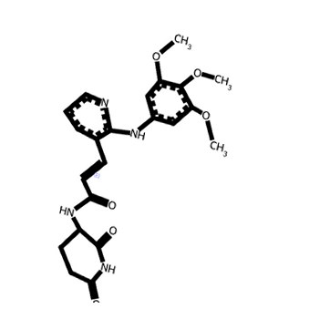 COc1cc(Nc2ncccc2/C=C/C(=O)NC2CCC(=O)NC2=O)cc(OC)c1OC